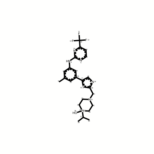 Cc1cc(Nc2nccc(C(F)(F)F)n2)cc(-c2cnc(CN3CC[PH](O)(C(C)C)CC3)s2)c1